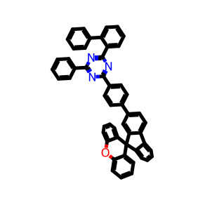 c1ccc(-c2nc(-c3ccc(-c4ccc5c(c4)C4(c6ccccc6Oc6ccccc64)c4ccccc4-5)cc3)nc(-c3ccccc3-c3ccccc3)n2)cc1